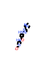 COCCN1CCC(NC(=O)c2ccc(Nc3nccc(-c4cnc(C)n4C(C)C)n3)cc2)CC1